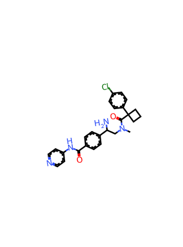 CN(CC(N)c1ccc(C(=O)Nc2ccncc2)cc1)C(=O)C1(c2ccc(Cl)cc2)CCC1